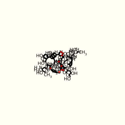 CN[C@H](CC(C)C)C(=O)NC1C(=O)NC(CC(N)=O)C(=O)N[C@H]2C(=O)NC3C(=O)N[C@H](C(=O)N[C@@H](C(=O)O)c4cc(O)cc(O)c4-c4cc3ccc4O)[C@H](OC3CC(C)(N)C(O)C(C)O3)c3ccc(c(Cl)c3)Oc3cc2cc(c3OC2OC(CO)C(O)C(O)C2OC2CC(C)(NCC(OCc3cccc(-c4ccc(Cl)cc4)c3)C(=O)O)C(O)C(C)O2)Oc2ccc(cc2Cl)[C@H]1O